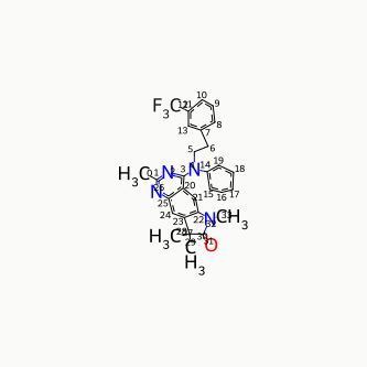 Cc1nc(N(CCc2cccc(C(F)(F)F)c2)c2ccccc2)c2cc3c(cc2n1)C(C)(C)C(=O)N3C